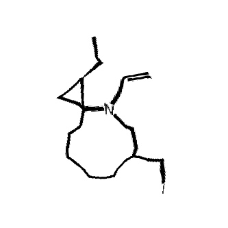 C=CN1CC(CI)CCCCC12C[C@H]2CC